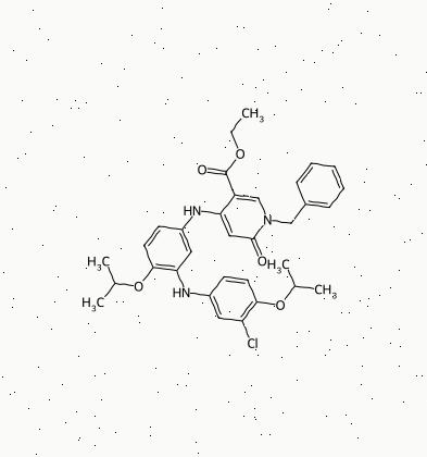 CCOC(=O)c1cn(Cc2ccccc2)c(=O)cc1Nc1ccc(OC(C)C)c(Nc2ccc(OC(C)C)c(Cl)c2)c1